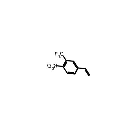 C=Cc1ccc([N+](=O)[O-])c(C(F)(F)F)c1